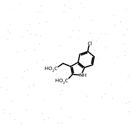 O=C(O)Cc1c(C(=O)O)[nH]c2ccc(Cl)cc12